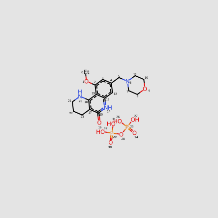 CCOc1cc(CN2CCOCC2)cc2[nH]c(=O)c3c(c12)NCCC3.O=P(O)(O)OP(=O)(O)O